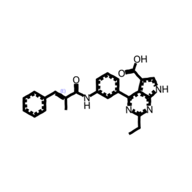 CCc1nc(-c2cccc(NC(=O)/C(C)=C/c3ccccc3)c2)c2c(C(=O)O)c[nH]c2n1